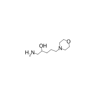 NCC(O)CCCN1CCOCC1